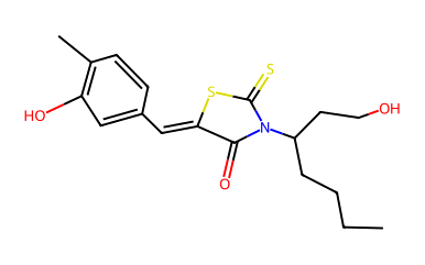 CCCCC(CCO)N1C(=O)/C(=C/c2ccc(C)c(O)c2)SC1=S